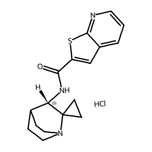 Cl.O=C(N[C@H]1C2CCN(CC2)C12CC2)c1cc2cccnc2s1